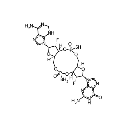 BP1(=O)OC[C@H]2O[C@@H](n3cnc4c3NCN=C4N)[C@H](F)[C@@H]2OP(=O)(S)OC[C@H]2O[C@@H](n3cnc4c(=O)[nH]c(N)nc43)[C@H](F)[C@@H]2O1